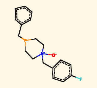 [O-][N+]1(Cc2ccc(F)cc2)CCP(Cc2ccccc2)CC1